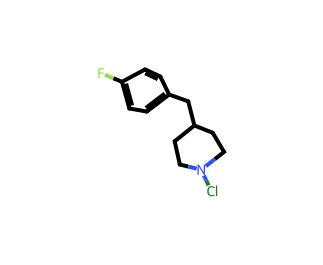 Fc1ccc(CC2CCN(Cl)CC2)cc1